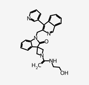 C=C(NCCO)N1CC2(C1)C(=O)N(Cc1ncc3ccccc3c1-c1cccnc1)c1ccccc12